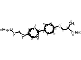 CCCCCCCOCOc1cnc(-c2ccc(OCC(C)CCCCCC)cc2)nc1